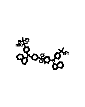 CCCCC(C)(c1ccc(N(c2ccc(C(c3ccc(N(c4ccc(C(C)(C)CCC)cc4)c4cccc5ccccc45)cc3)(C(F)(F)F)C(F)(F)F)cc2)c2cccc3ccccc23)cc1)C(C)(CC)CC